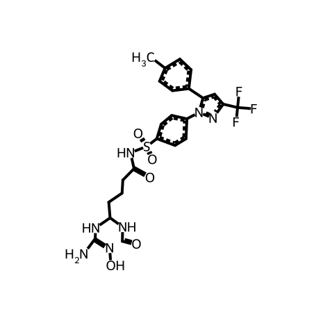 Cc1ccc(-c2cc(C(F)(F)F)nn2-c2ccc(S(=O)(=O)NC(=O)CCCC(NC=O)NC(N)=NO)cc2)cc1